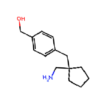 NCC1(Cc2ccc(CO)cc2)CCCC1